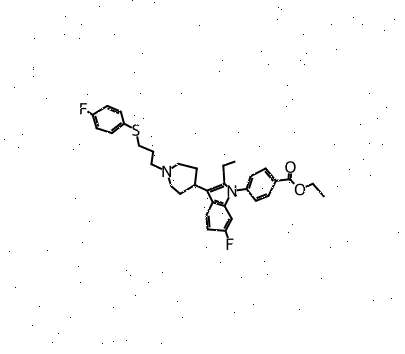 CCOC(=O)c1ccc(-n2c(CC)c(C3CCN(CCCSc4ccc(F)cc4)CC3)c3ccc(F)cc32)cc1